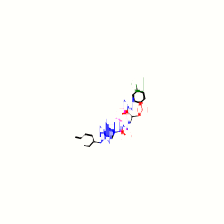 C=C/C=C\C(=C/C)Cn1cc(C(=O)NCC2COc3ccc(Cl)cc3N(C)C2=O)nn1